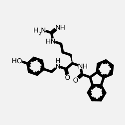 N=C(N)NCCC[C@@H](NC(=O)C1c2ccccc2-c2ccccc21)C(=O)NCc1ccc(O)cc1